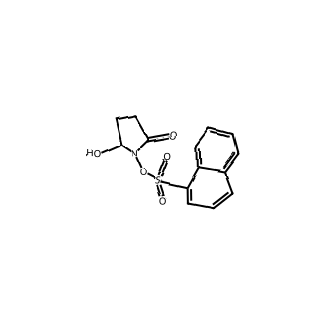 O=C1CCC(O)N1OS(=O)(=O)c1cccc2ccccc12